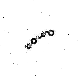 c1cn(-c2ccc(OCC3CN(CC4CCCCC4)C3)cc2)cn1